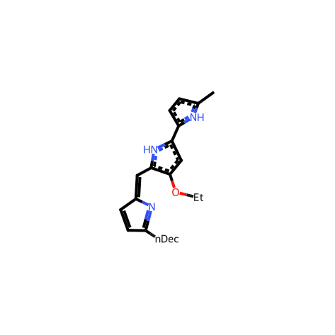 CCCCCCCCCCC1=NC(=Cc2[nH]c(-c3ccc(C)[nH]3)cc2OCC)C=C1